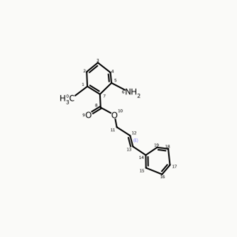 Cc1cccc(N)c1C(=O)OC/C=C/c1ccccc1